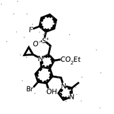 CCOC(=O)c1c(C[S+]([O-])c2ccccc2F)n(C2CC2)c2cc(Br)c(O)c(Cn3ccnc3C)c12